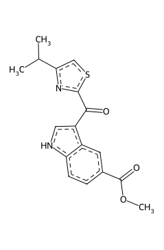 COC(=O)c1ccc2[nH]cc(C(=O)c3nc(C(C)C)cs3)c2c1